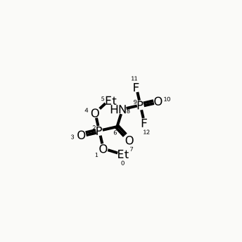 CCOP(=O)(OCC)C(=O)NP(=O)(F)F